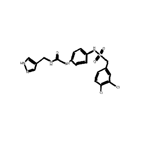 O=C(NCc1cn[nH]c1)Nc1ccc(NS(=O)(=O)Cc2ccc(Cl)c(Cl)c2)cc1